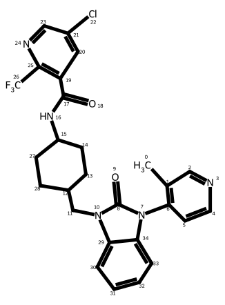 Cc1cnccc1-n1c(=O)n(CC2CCC(NC(=O)c3cc(Cl)cnc3C(F)(F)F)CC2)c2ccccc21